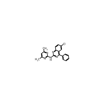 Cc1cc(C)nc(Nc2nc(-c3ccccc3)c3cc(Cl)ccc3n2)n1